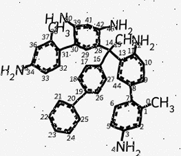 Cc1cc(N)ccc1-c1ccc(N)c(C(C)(c2ccc(-c3ccccc3)cc2)c2cc(-c3ccc(N)cc3C)c(N)cc2N)c1